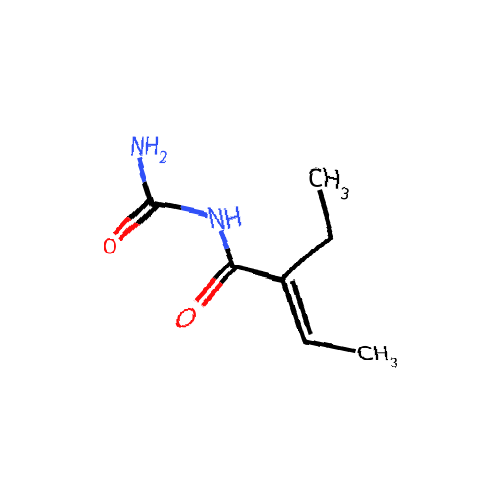 C/C=C(\CC)C(=O)NC(N)=O